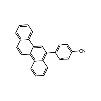 N#Cc1ccc(-c2cc3c4ccccc4ccc3c3ccccc23)cc1